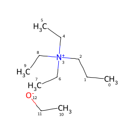 CCC[N+](CC)(CC)CC.CC[O-]